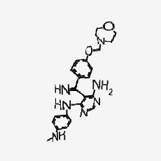 CNc1ccc(Nc2ncnc(N)c2C(=N)c2ccc(OCN3CCOCC3)cc2)cc1